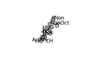 C#C[C@]1(CO)O[C@@H](n2cnc3c(NC(=O)OC(COCCCCCCCCC)COC(=O)CCCCCCCC)nc(F)nc32)C[C@@H]1OC(C)=O